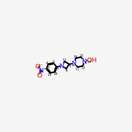 O=[N+]([O-])c1ccc(N2CC(N3CCN(O)CC3)C2)cc1